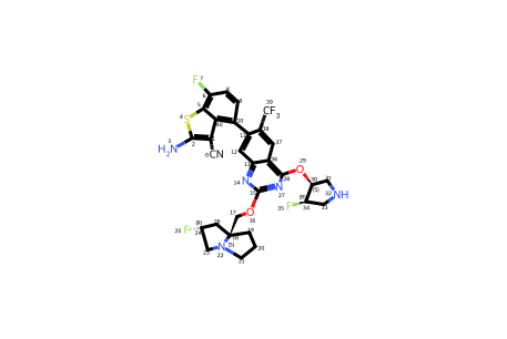 N#Cc1c(N)sc2c(F)ccc(-c3cc4nc(OC[C@@]56CCCN5C[C@H](F)C6)nc(O[C@H]5CNC[C@H]5F)c4cc3C(F)(F)F)c12